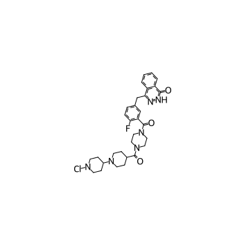 O=C(c1cc(Cc2n[nH]c(=O)c3ccccc23)ccc1F)N1CCN(C(=O)C2CCN(C3CCN(Cl)CC3)CC2)CC1